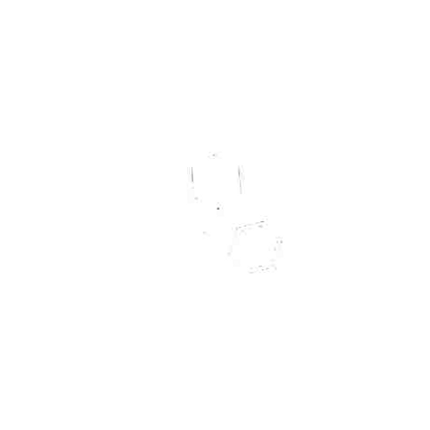 NC1(c2ccncc2)CCCCN1C(=O)O